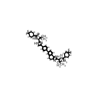 CC(C)(C)C(NC(=O)C1CCC(F)(F)CC1)c1nc2c([nH]1)-c1ccc(-c3ccc(-c4c[nH]c([C@@H](NC(=O)C5CCC(F)(F)CC5)C(C)(C)C)n4)cc3)cc1CC2